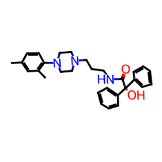 Cc1ccc(N2CCN(CCCNC(=O)C(O)(c3ccccc3)c3ccccc3)CC2)c(C)c1